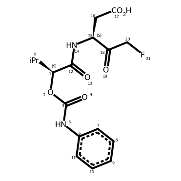 CC(C)[C@H](OC(=O)Nc1ccccc1)C(=O)N[C@@H](CC(=O)O)C(=O)CF